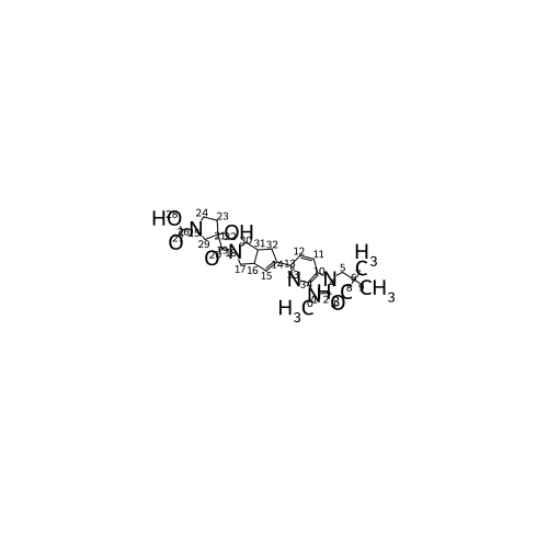 Cn1c(=O)n(CC(C)(C)C)c2ccc(C3=CC4CN(C(=O)C5(O)CCN(C(=O)O)C5)CC4C3)nc21